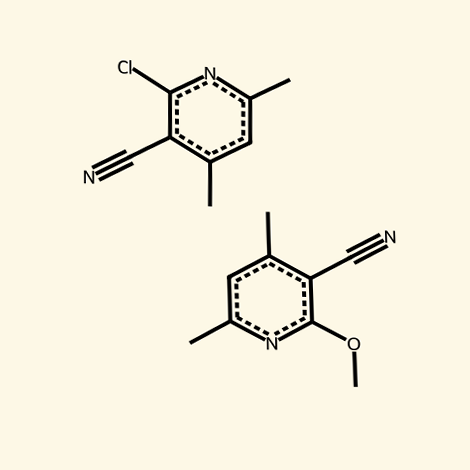 COc1nc(C)cc(C)c1C#N.Cc1cc(C)c(C#N)c(Cl)n1